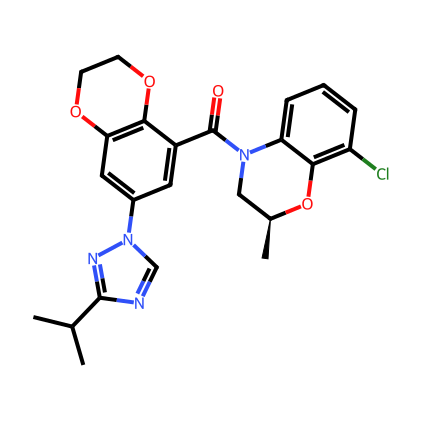 CC(C)c1ncn(-c2cc3c(c(C(=O)N4C[C@H](C)Oc5c(Cl)cccc54)c2)OCCO3)n1